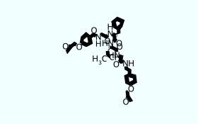 CC(C)C[C@H](NC(=O)[C@H](Cc1ccccc1)NC(=O)CNC(=O)c1ccc(OCC2CO2)cc1)C(=O)NCC(=O)NCCc1ccc(OCC2CO2)cc1